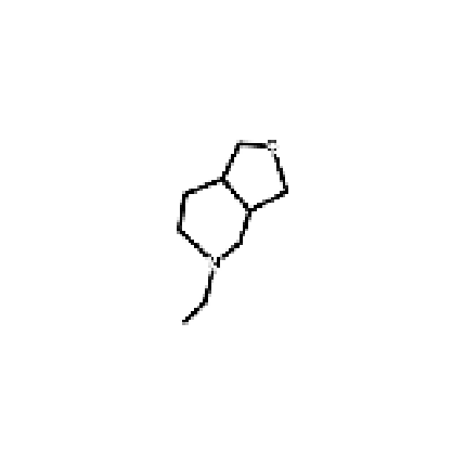 CCN1CCC2COCC2C1